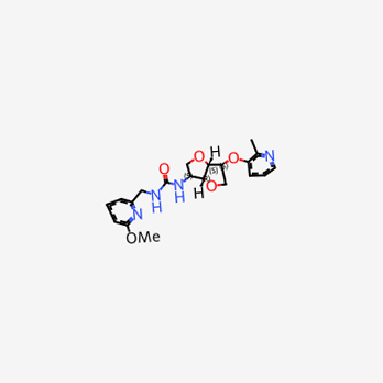 COc1cccc(CNC(=O)N[C@H]2CO[C@H]3[C@@H]2OC[C@@H]3Oc2cccnc2C)n1